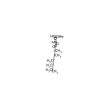 COc1cc(CNC(=O)COC(=O)CC/C(C)=C/CC/C(C)=C/CC/C=C(\C)CC/C=C(\C)CCC=C(C)C)ccc1O